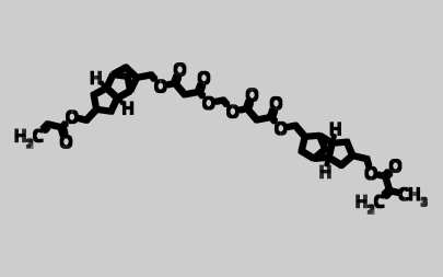 C=CC(=O)OCC1C[C@@H]2C3CC(CC3COC(=O)CC(=O)OCOC(=O)CC(=O)OCC3CC4CC3[C@@H]3CC(COC(=O)C(=C)C)C[C@H]43)[C@@H]2C1